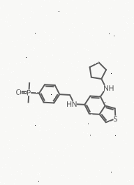 CP(C)(=O)c1ccc(CNc2cc(NC3CCCC3)c3cscc3c2)cc1